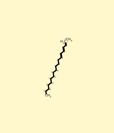 C.C=CC=CC=CCCCCCCCCCCCC